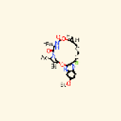 CCOc1ccc2nc3c(nc2c1)O[C@H]1CN(C(=O)[C@H](C(C)(C)C)NC(=O)O[C@@H]2C[C@H]2CCCCC3(F)F)[C@H](C(C)=O)[C@@H]1CC